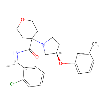 C[C@H](NC(=O)C1(N2CC[C@@H](Oc3cccc(C(F)(F)F)c3)C2)CCOCC1)c1ccccc1Cl